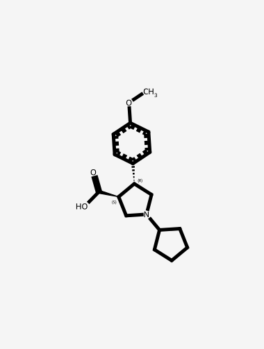 COc1ccc([C@@H]2CN(C3CCCC3)C[C@H]2C(=O)O)cc1